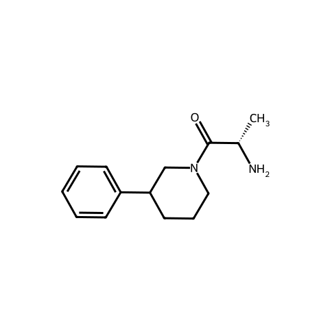 C[C@H](N)C(=O)N1CCCC(c2ccccc2)C1